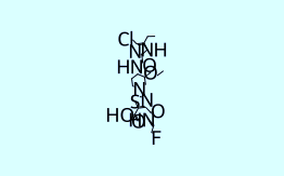 CCO[C@H]1CN(c2nc(C(=O)NCCF)c(C(=O)O)s2)CC[C@H]1NC(=O)c1nc(Cl)c(CC)[nH]1